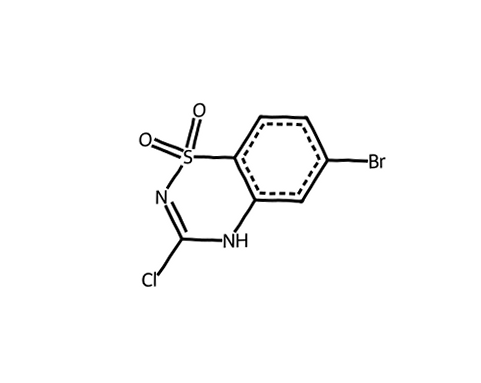 O=S1(=O)N=C(Cl)Nc2cc(Br)ccc21